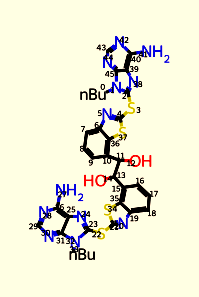 CCCCn1c(Sc2nc3cccc(C(O)C(O)c4cccc5nc(Sc6nc7c(N)ncnc7n6CCCC)sc45)c3s2)nc2c(N)ncnc21